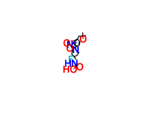 CC1(C)Cc2cc([N+](=O)[O-])c(N3CCC(F)(CNC(=O)O)CC3)cc2O1